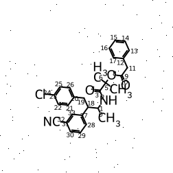 CC(NC(=O)C(C)(C)OC(=O)Cc1ccccc1)C(Cc1ccc(Cl)cc1)c1cccc(C#N)c1